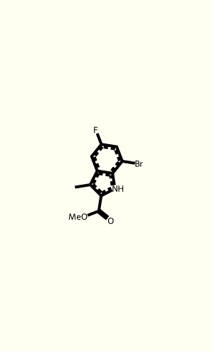 COC(=O)c1[nH]c2c(Br)cc(F)cc2c1C